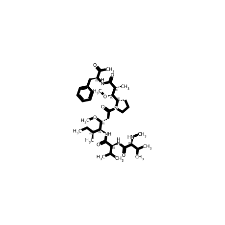 CC[C@H](C)[C@H](NC(=O)[C@@H](NC(=O)[C@@H](NC)C(C)C)C(C)C)[C@@H](CC(=O)N1CCC[C@H]1[C@H](OC)[C@@H](C)C(=O)N[C@@H](Cc1ccccc1)C(C)=O)OC